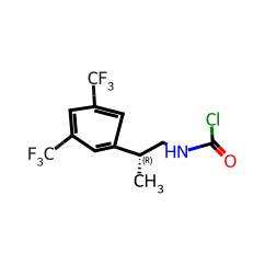 C[C@@H](CNC(=O)Cl)c1cc(C(F)(F)F)cc(C(F)(F)F)c1